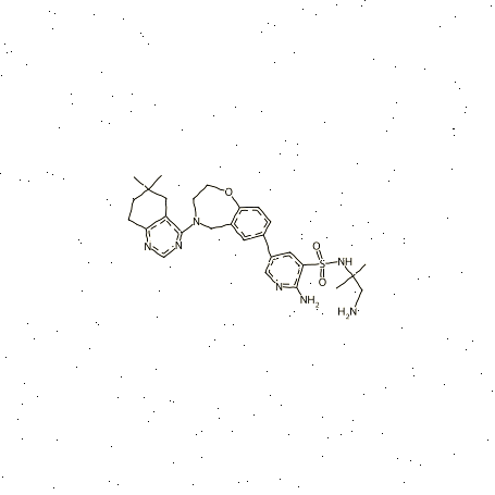 CC1(C)CCc2ncnc(N3CCOc4ccc(-c5cnc(N)c(S(=O)(=O)NC(C)(C)CN)c5)cc4C3)c2C1